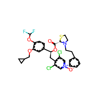 O=C(O[C@@H](Cc1c(Cl)c[n+]([O-])cc1Cl)c1ccc(OC(F)F)c(OCC2CC2)c1)[C@@H]1SCCN1CCc1ccccc1